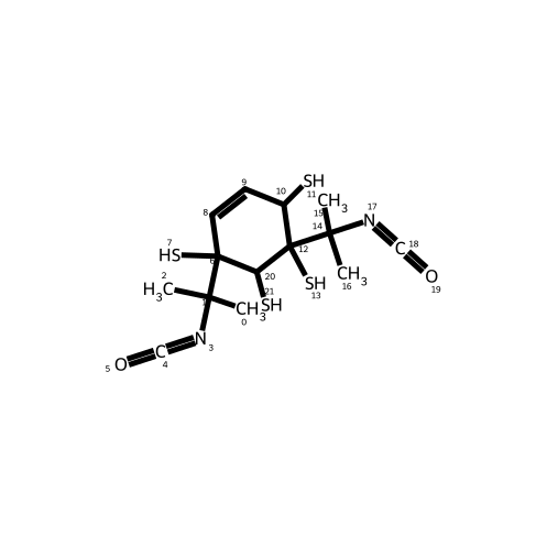 CC(C)(N=C=O)C1(S)C=CC(S)C(S)(C(C)(C)N=C=O)C1S